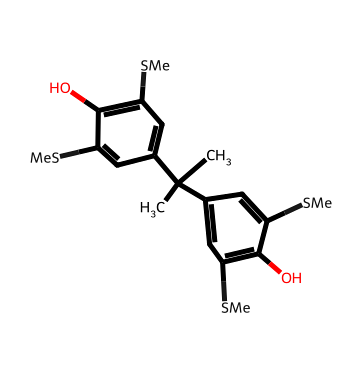 CSc1cc(C(C)(C)c2cc(SC)c(O)c(SC)c2)cc(SC)c1O